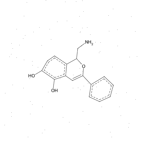 NCC1OC(c2ccccc2)=Cc2c1ccc(O)c2O